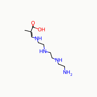 CC(=CNCCNCCNCCN)C(=O)O